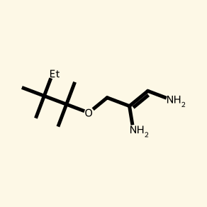 CCC(C)(C)C(C)(C)OC/C(N)=C/N